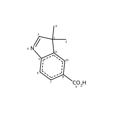 CC1(C)C=Nc2ccc(C(=O)O)cc21